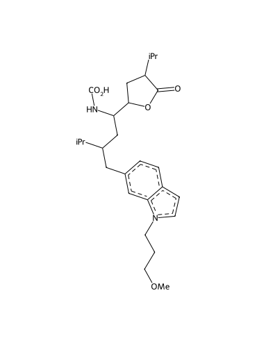 COCCCn1ccc2ccc(CC(CC(NC(=O)O)C3CC(C(C)C)C(=O)O3)C(C)C)cc21